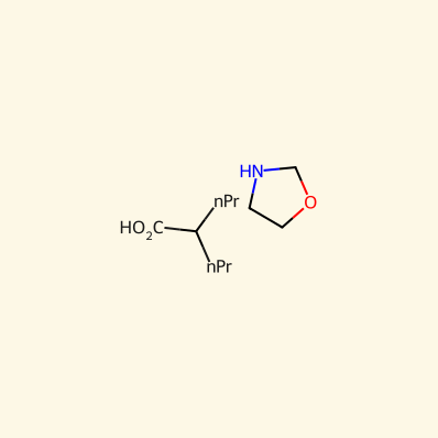 C1COCN1.CCCC(CCC)C(=O)O